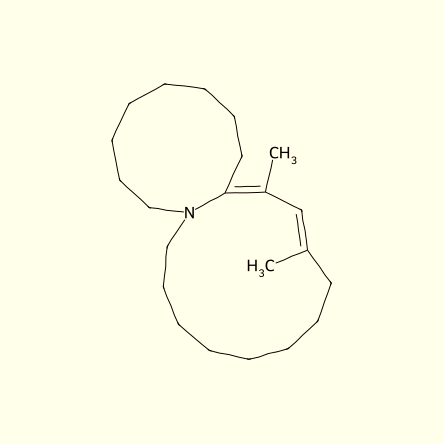 CC1=C2\CCCCCCCCN2CCCCCCCC\C(C)=C\1